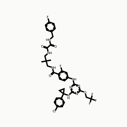 CC(C)(CNC(=O)C(=O)NCc1ccc(F)cc1)CNC(=O)c1ccc(Nc2nc(NC3(c4ccc(Cl)cc4)CC3)nc(OCC(F)(F)F)n2)cc1F